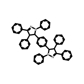 c1ccc(C2=NN(c3ccccc3)C(c3ccc(C4C(c5ccccc5)C(c5ccccc5)=NN4c4ccccc4)cc3)C2c2ccccc2)cc1